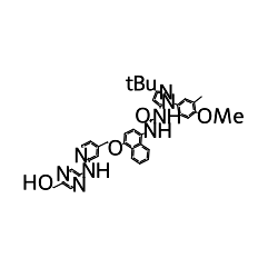 COc1ccc(-n2nc(C(C)(C)C)cc2NC(=O)Nc2ccc(OCc3ccnc(Nc4cnc(CO)cn4)c3)c3ccccc23)cc1C